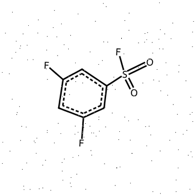 O=S(=O)(F)c1cc(F)cc(F)c1